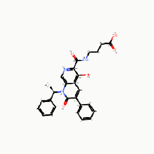 C[C@H](c1ccccc1)n1c(=O)c(-c2ccccc2)cc2c(O)c(C(=O)NCCCC(=O)O)ncc21